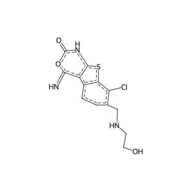 N=c1oc(=O)[nH]c2sc3c(Cl)c(CNCCO)ccc3c12